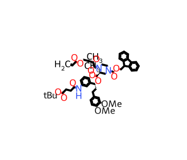 C=CC(=O)OCC(C)(C)C(=O)C(=O)N1CCN(C(=O)OCC2c3ccccc3-c3ccccc32)C[C@H]1C(=O)O[C@H](CCc1ccc(OC)c(OC)c1)c1cccc(NC(=O)CCC(=O)OC(C)(C)C)c1